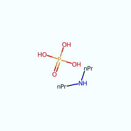 CCCNCCC.O=P(O)(O)O